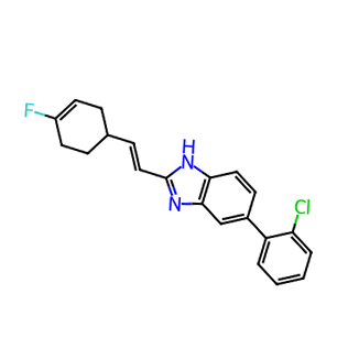 FC1=CCC(/C=C/c2nc3cc(-c4ccccc4Cl)ccc3[nH]2)CC1